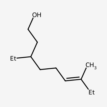 CCC(C)=CCCC(CC)CCO